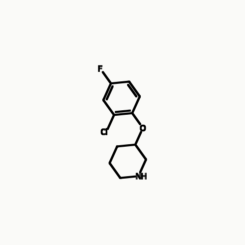 Fc1ccc(OC2CCCNC2)c(Cl)c1